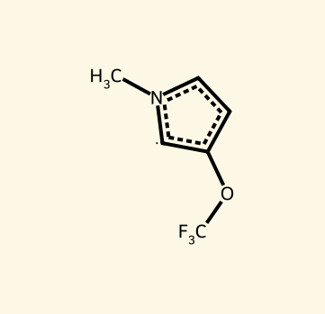 Cn1[c]c(OC(F)(F)F)cc1